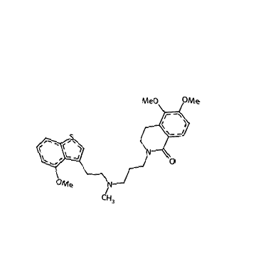 COc1ccc2c(c1OC)CCN(CCCN(C)CCc1csc3cccc(OC)c13)C2=O